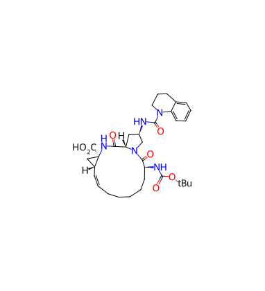 CC(C)(C)OC(=O)N[C@H]1CCCCCC=C[C@@H]2C[C@@]2(C(=O)O)NC(=O)[C@@H]2C[C@@H](NC(=O)N3CCCc4ccccc43)CN2C1=O